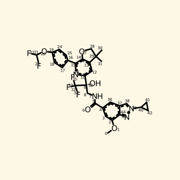 COc1cc(C(=O)NC[C@](O)(c2cc3c(c(-c4ccc(OC(F)F)cc4)n2)OCC3(C)C)C(F)(F)F)cc2cn(C3CC3)nc12